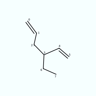 C=C[CH]C(C=C)CC